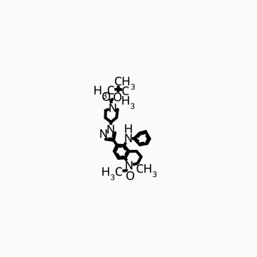 CC(=O)N1c2ccc(-c3cnn(C4CCN(C(=O)OC(C)(C)C)CC4)c3)c(Nc3ccccc3)c2CCC1C